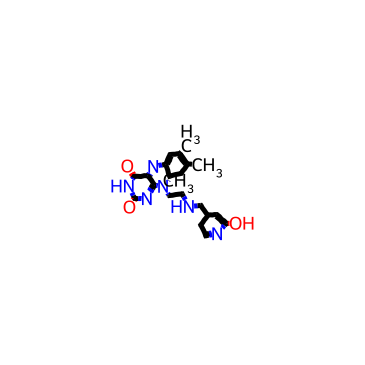 CC1=C(C)CCC(/N=C2/C(=O)NC(=O)N=C2N(C)CCNCC2C=C(O)N=CC2)=C1